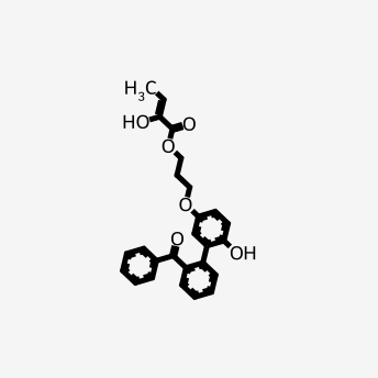 CC=C(O)C(=O)OCCCOc1ccc(O)c(-c2ccccc2C(=O)c2ccccc2)c1